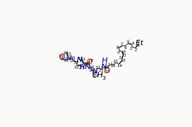 CC/C=C\C/C=C\C/C=C\C/C=C\C/C=C\CCCC(=O)NCCN(C)CCNC(=O)c1ccc(CCN2CCOCC2)nc1